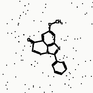 COc1cc2nc(-c3ccccc3)n3ccc(=O)c(c1)c23